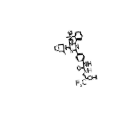 CC1COCCN1c1nc(-c2ccc(NC(=O)NCC(O)C(F)(F)F)cc2)nc(-c2ccccc2S(C)(=O)=O)n1